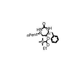 CCCCCN1C[C@@H](OC(OCC)[Si](C)(C)C)[C@@H](Cc2ccccc2)NC(=O)N1